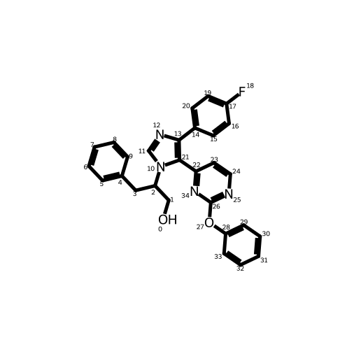 OCC(Cc1ccccc1)n1cnc(-c2ccc(F)cc2)c1-c1ccnc(Oc2ccccc2)n1